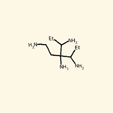 CCC(N)C(N)(CCN)C(N)CC